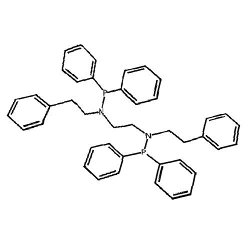 c1ccc(CCN(CCN(CCc2ccccc2)P(c2ccccc2)c2ccccc2)P(c2ccccc2)c2ccccc2)cc1